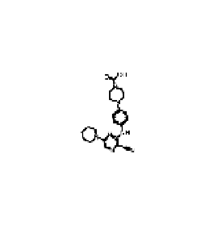 N#Cc1ncc(N2CCCCC2)nc1Nc1ccc(N2CCN(C(=O)O)CC2)cc1